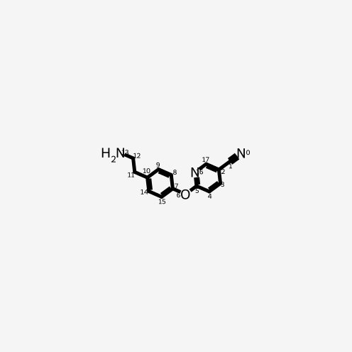 N#Cc1ccc(Oc2ccc(CCN)cc2)nc1